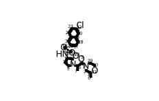 CC1CN(C(=O)C(C)N2CC[C@H](NS(=O)(=O)c3ccc4cc(Cl)ccc4c3)C2=O)CCO1